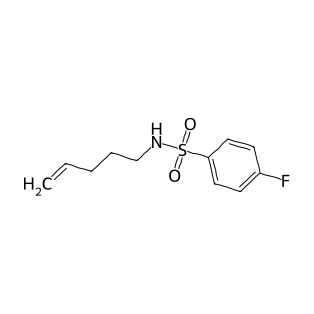 C=CCCCNS(=O)(=O)c1ccc(F)cc1